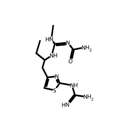 CCC(Cc1csc(NC(=N)N)n1)N/C(=N\C(N)=O)NC